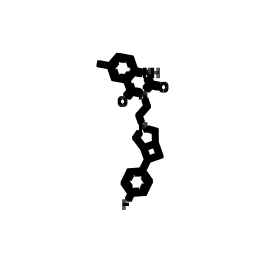 Cc1ccc2[nH]c(=O)n(CCN3CC4CC(c5ccc(F)cc5)C4C3)c(=O)c2c1